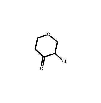 O=C1CCOCC1Cl